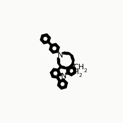 C=C1/C=C\C=C/N(c2ccc(-c3ccccc3)cc2)/C=C\C(c2cccc3c4ccccc4n(-c4ccccc4)c23)=C/C1=C